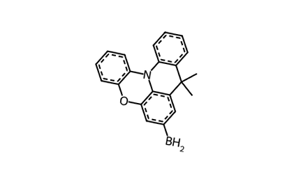 Bc1cc2c3c(c1)C(C)(C)c1ccccc1N3c1ccccc1O2